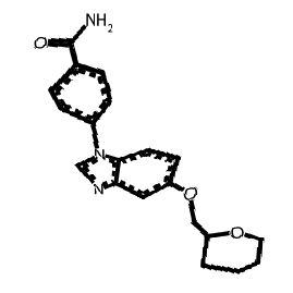 NC(=O)c1ccc(-n2cnc3cc(OCC4CCCCO4)ccc32)cc1